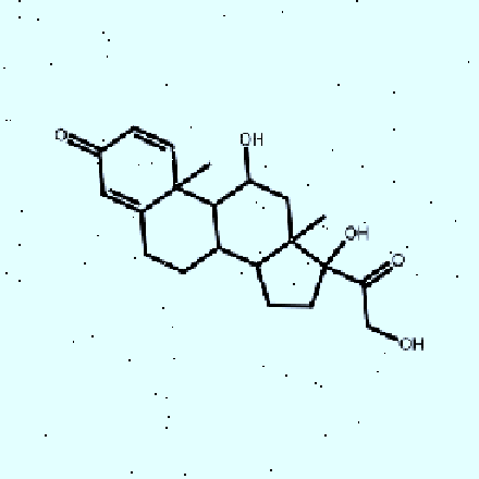 CC12C=CC(=O)C=C1CCC1C2C(O)CC2(C)C1CCC2(O)C(=O)CO